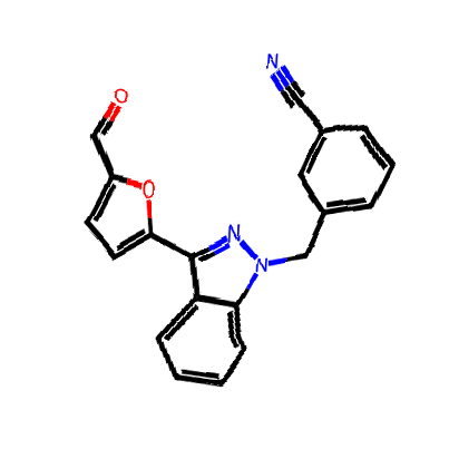 N#Cc1cccc(Cn2nc(-c3ccc(C=O)o3)c3ccccc32)c1